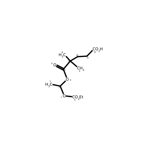 CCOC(=O)OC(C)OC(=O)C(C)(C)CCC(=O)O